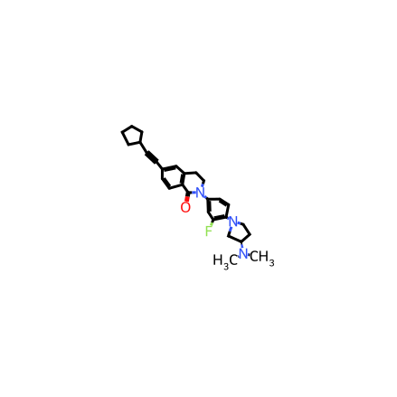 CN(C)[C@@H]1CCN(c2ccc(N3CCc4cc(C#CC5CCCC5)ccc4C3=O)cc2F)C1